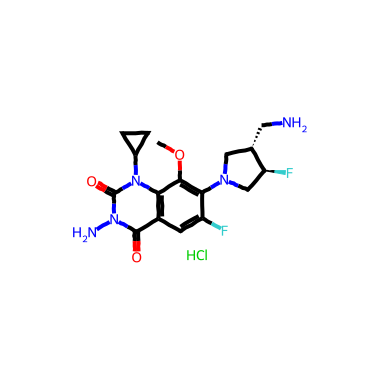 COc1c(N2C[C@H](CN)[C@@H](F)C2)c(F)cc2c(=O)n(N)c(=O)n(C3CC3)c12.Cl